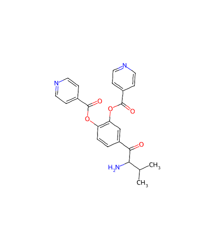 CC(C)C(N)C(=O)c1ccc(OC(=O)c2ccncc2)c(OC(=O)c2ccncc2)c1